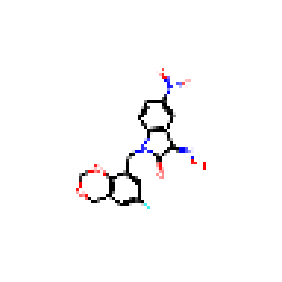 O=C1/C(=N\O)c2cc([N+](=O)[O-])ccc2N1Cc1cc(F)cc2c1OCOC2